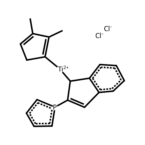 CC1=CC[C]([Ti+2][CH]2C(p3cccc3)=Cc3ccccc32)=C1C.[Cl-].[Cl-]